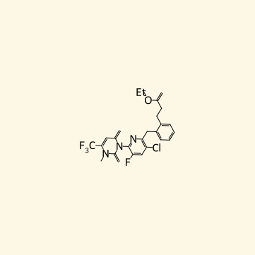 C=C(CCc1ccccc1Cc1nc(N2C(=C)C=C(C(F)(F)F)N(C)C2=C)c(F)cc1Cl)OCC